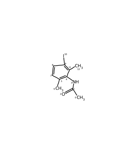 CC(=O)Nc1c(C)ccc(I)c1C